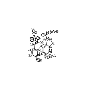 CNC(=O)N1CCc2nc(C(C)(C)C)cc(C3CN(S(C)(=O)=O)Cc4ccc(C(C)(C)C)nc43)c2C1